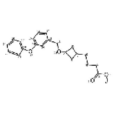 COC(=O)CCCC1CC(OCc2cccc(Oc3ccccc3)c2)C1